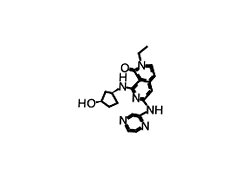 CCn1ccc2cc(Nc3cnccn3)nc(N[C@H]3CC[C@@H](O)C3)c2c1=O